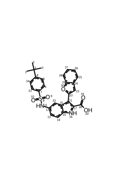 CC(C)(C)c1ccc(S(=O)(=O)Nc2ccc3[nH]c(C(=O)O)c(-c4cc5ccccc5o4)c3c2)cc1